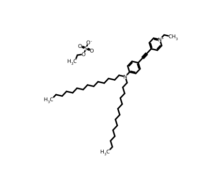 CCCCCCCCCCCCCCN(CCCCCCCCCCCCCC)c1ccc(C#Cc2cc[n+](CC)cc2)cc1.CCOS(=O)(=O)[O-]